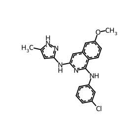 COc1ccc2c(Nc3cccc(Cl)c3)nc(Nc3cc(C)[nH]n3)cc2c1